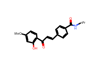 CCCNC(=O)c1ccc(/C=C/C(=O)c2ccc(OC)cc2O)cc1